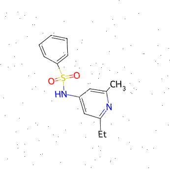 CCc1cc(NS(=O)(=O)c2ccccc2)cc(C)n1